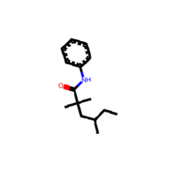 CCC(C)CC(C)(C)C(=O)Nc1ccccc1